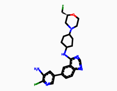 Nc1cc(-c2ccc3ncnc(NC4CCC(N5CCO[C@@H](CF)C5)CC4)c3c2)cnc1F